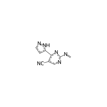 C=Nc1ncc(C#N)c(-c2ccn[nH]2)n1